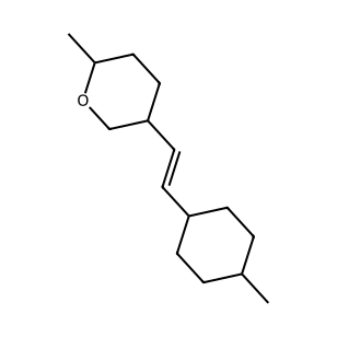 CC1CCC(C=CC2CCC(C)OC2)CC1